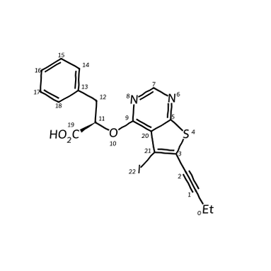 CCC#Cc1sc2ncnc(O[C@H](Cc3ccccc3)C(=O)O)c2c1I